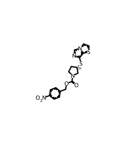 O=C(OCc1ccc([N+](=O)[O-])cc1)N1CC[C@H](Sc2ncn3ccsc23)C1